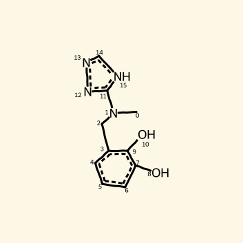 CN(Cc1cccc(O)c1O)c1nnc[nH]1